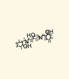 Oc1ccccc1C=NCCC(O)CCN=Cc1ccccc1O